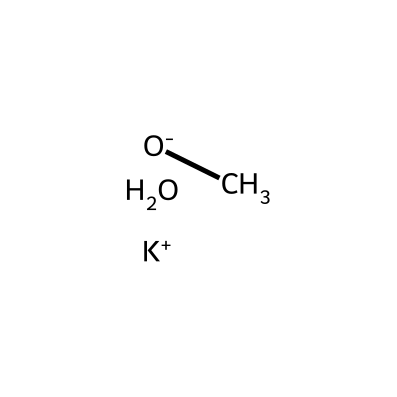 C[O-].O.[K+]